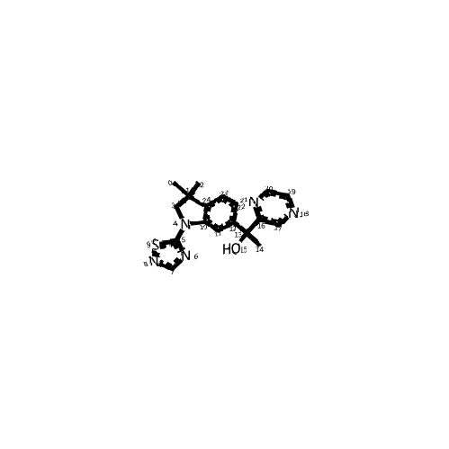 CC1(C)CN(c2ncns2)c2cc(C(C)(O)c3cnccn3)ccc21